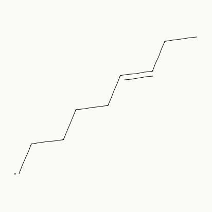 [CH2]CCCCC=CCC